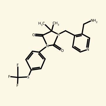 CC1(C)C(=O)N(c2ccc(SC(F)(F)F)cc2)C(=O)N1Cc1ccncc1CN